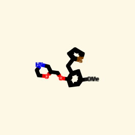 COc1ccc(OCC2CNCCO2)c(Cc2cccs2)c1